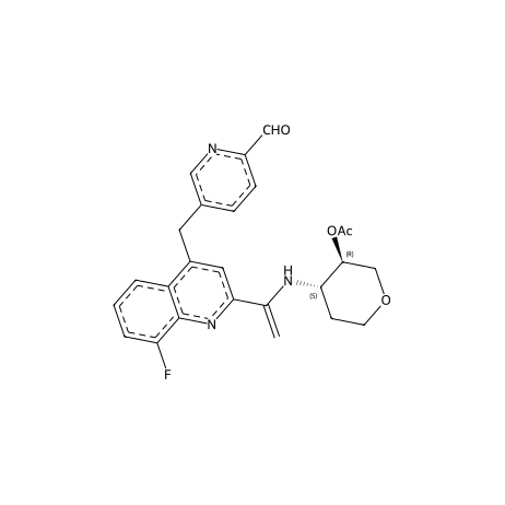 C=C(N[C@H]1CCOC[C@@H]1OC(C)=O)c1cc(Cc2ccc(C=O)nc2)c2cccc(F)c2n1